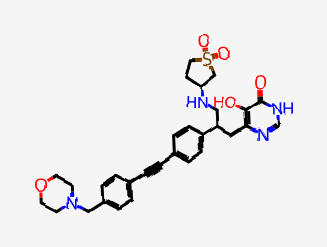 O=c1[nH]cnc(CC(CN[C@H]2CCS(=O)(=O)C2)c2ccc(C#Cc3ccc(CN4CCOCC4)cc3)cc2)c1O